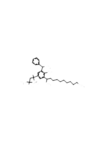 CCCCCCCCCCC(C)c1cc(C(C)(C)CC(C)(C)C)cc(C(C)c2ccccc2)c1O